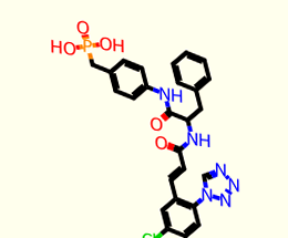 O=C(C=Cc1cc(Cl)ccc1-n1cnnn1)NC(Cc1ccccc1)C(=O)Nc1ccc(CP(=O)(O)O)cc1